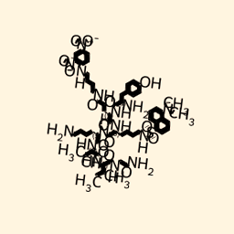 CCC(C)[C@H](NC(=O)[C@@H](NC(=O)[C@H](CCCCN)NC(=O)[C@H](CCCCNS(=O)(=O)c1cccc2c(N(C)C)cccc12)NC(=O)[C@H](CCC(=O)NCCCCNc1ccc([N+](=O)[O-])cc1[N+](=O)[O-])NC(=O)[C@@H](N)Cc1ccc(O)cc1)C(C)C)C(=O)NCC(N)=O